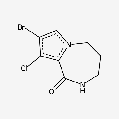 O=C1NCCCn2cc(Br)c(Cl)c21